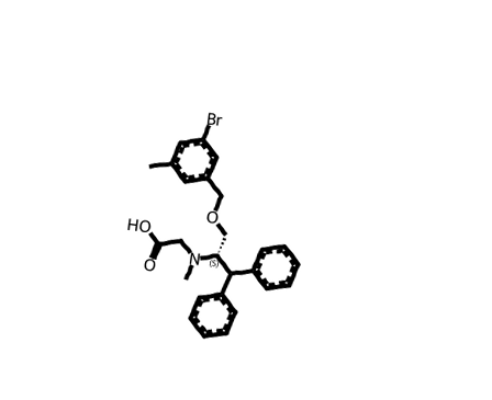 Cc1cc(Br)cc(COC[C@H](C(c2ccccc2)c2ccccc2)N(C)CC(=O)O)c1